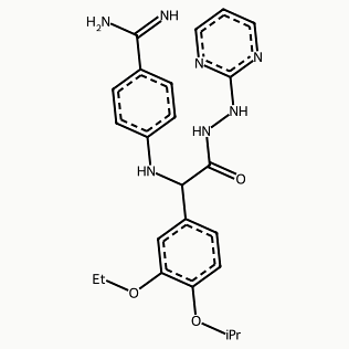 CCOc1cc(C(Nc2ccc(C(=N)N)cc2)C(=O)NNc2ncccn2)ccc1OC(C)C